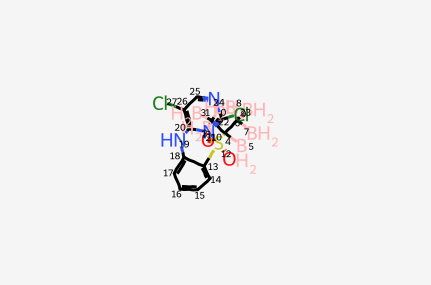 BC(B)(B)C(B)(C(B)(B)B)S(=O)(=O)c1ccccc1Nc1nc(Cl)ncc1Cl